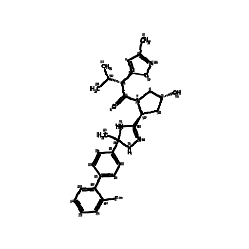 Cc1cc([C@H](C(=O)N2C[C@H](O)C[C@H]2C2=NNC(C)(c3ccc(-c4ccccc4F)cc3)N2)C(C)C)on1